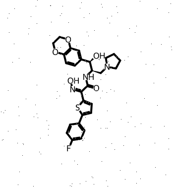 O=C(N[C@H](CN1CCCC1)[C@H](O)c1ccc2c(c1)OCCO2)C(=NO)c1ccc(-c2ccc(F)cc2)s1